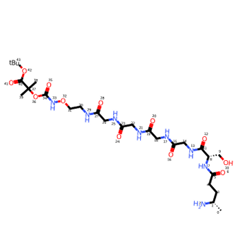 C[C@H](N)CCC(=O)N[C@@H](CO)C(=O)NCC(=O)NCC(=O)NCC(=O)NCC(=O)NCCONC(=O)OC(C)(C)C(=O)OC(C)(C)C